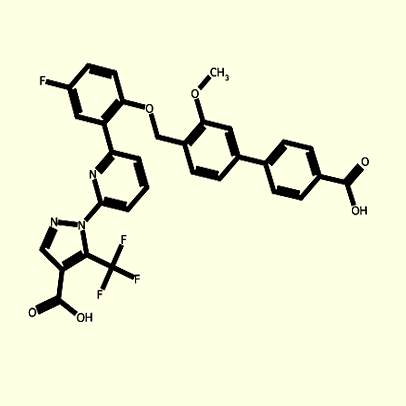 COc1cc(-c2ccc(C(=O)O)cc2)ccc1COc1ccc(F)cc1-c1cccc(-n2ncc(C(=O)O)c2C(F)(F)F)n1